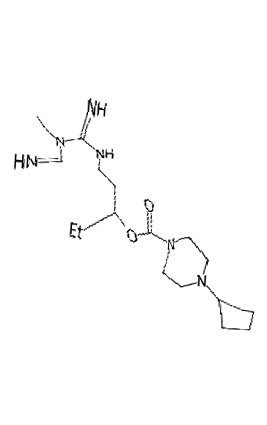 CCC(CCNC(=N)N(C)C=N)OC(=O)N1CCN(C2CCC2)CC1